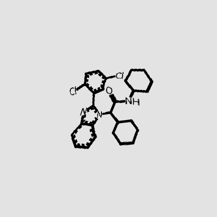 O=C(NC1CCCCC1)C(C1CCCCC1)n1c(-c2cc(Cl)ccc2Cl)nc2ccccc21